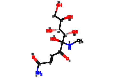 CN[C@](O)(C(=O)C=CC(N)=O)[C@@H](O)[C@H](O)[C@H](O)CO